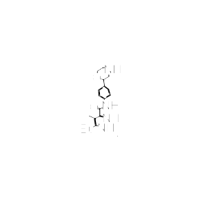 CC/C(N)=C(\C)C(=N)C(=O)Nc1ccc(C2CNCCO2)cc1